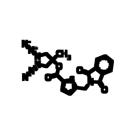 CC(CN=[N+]=[N-])(CN=[N+]=[N-])OC(=O)c1ccc(CN2C(=O)c3ccccc3C2=O)s1